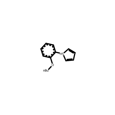 CCCCOc1c[c]ccc1[SH]1C=CC=C1